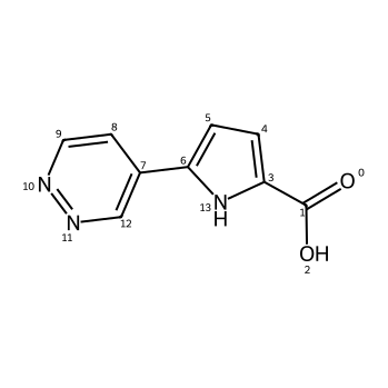 O=C(O)c1ccc(-c2ccnnc2)[nH]1